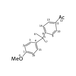 COc1ccc(C(C)(C)c2ccc(C(C)=O)cc2)cc1